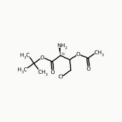 CC(=O)OC(CCl)[C@H](N)C(=O)OC(C)(C)C